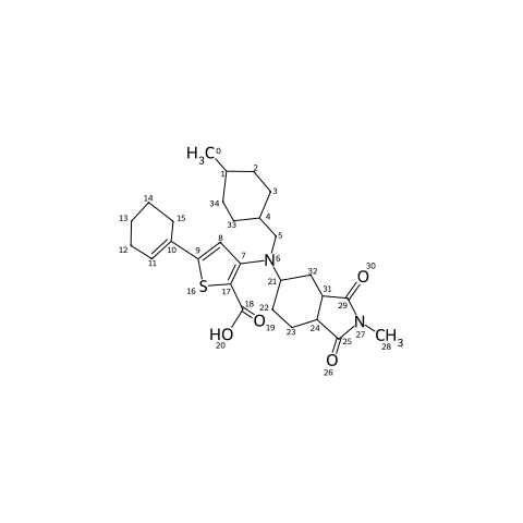 CC1CCC(CN(c2cc(C3=CCCCC3)sc2C(=O)O)C2CCC3C(=O)N(C)C(=O)C3C2)CC1